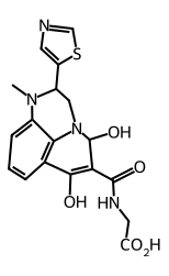 CN1c2cccc3c2N(CC1c1cncs1)C(O)C(C(=O)NCC(=O)O)=C3O